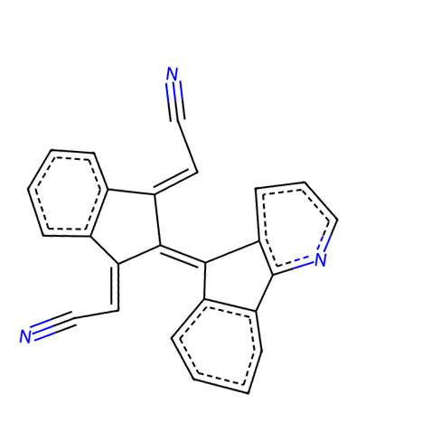 N#C/C=C1/C(=C2c3ccccc3-c3ncccc32)/C(=C/C#N)c2ccccc21